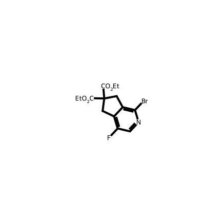 CCOC(=O)C1(C(=O)OCC)Cc2c(F)cnc(Br)c2C1